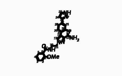 COc1ccccc1C(=O)NCCn1cc2c(n1)c(N)nc1cc(-c3cc[nH]n3)ccc12